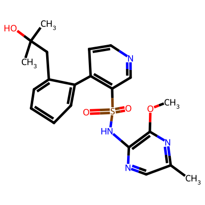 COc1nc(C)cnc1NS(=O)(=O)c1cnccc1-c1ccccc1CC(C)(C)O